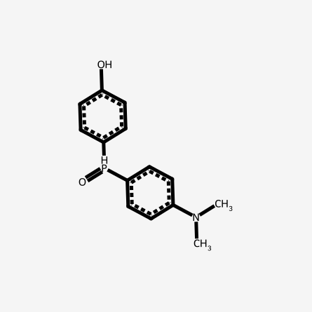 CN(C)c1ccc([PH](=O)c2ccc(O)cc2)cc1